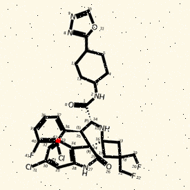 O=C(NC1CCC(c2nnco2)CC1)[C@@H]1NC2(CC(CF)(CF)C2)[C@@]2(C(=O)Nc3cc(Cl)ccc32)[C@H]1c1cccc(F)c1Cl